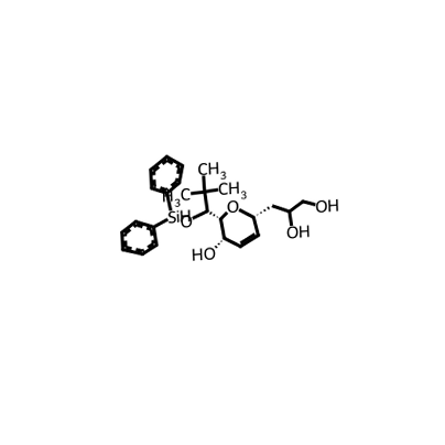 CC(C)(C)C(O[SiH](c1ccccc1)c1ccccc1)[C@@H]1O[C@H](CC(O)CO)C=C[C@@H]1O